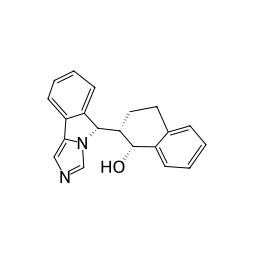 O[C@H]1c2ccccc2CC[C@H]1[C@H]1c2ccccc2-c2cncn21